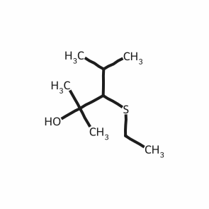 CCSC(C(C)C)C(C)(C)O